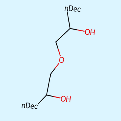 CCCCCCCCCCC(O)COCC(O)CCCCCCCCCC